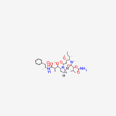 CC[C@H](C)[C@@H]([C@@H](CC(=O)N1[C@H]2C[C@H]2C[C@H]1[C@H](OC)[C@@H](C)C(=O)N[C@H](C)[C@@H](O)c1ccccc1)OC)N(C)C(=O)[C@@H](OC(N)=O)C(C)C